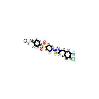 O=[N+]([O-])c1ccc(S(=O)(=O)C2CCN(c3nc(Cc4ccc(Cl)c(F)c4)cs3)CC2)cc1